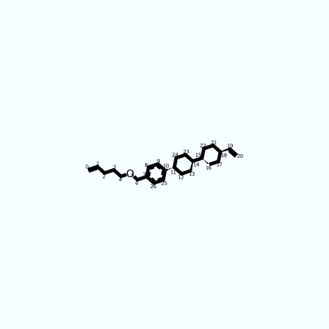 C=CCCCOCc1ccc([C@H]2CC[C@H]([C@H]3CC[C@H](C=C)CC3)CC2)cc1